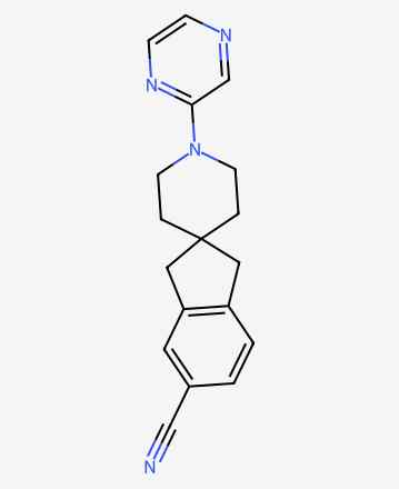 N#Cc1ccc2c(c1)CC1(CCN(c3cnccn3)CC1)C2